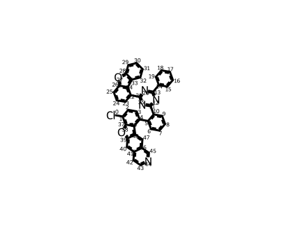 Clc1ccc(-c2ccccc2-c2nc(-c3ccccc3)nc(-c3cccc4oc5ccccc5c34)n2)c2c1oc1cc3ccncc3cc12